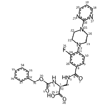 O=C(N[C@@H](CNC(=O)c1ccc(N2CCN(c3ncccn3)CC2)c(F)c1)C(=O)O)OCc1ccccc1